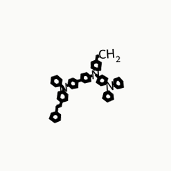 C=Cc1ccc(N(c2ccc(-c3ccc(N(c4ccccc4)c4ccc(C=Cc5ccccc5)cc4)cc3)cc2)c2ccc(N(c3ccccc3)c3ccccc3)cc2)cc1